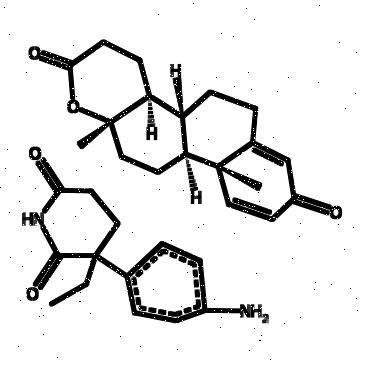 CCC1(c2ccc(N)cc2)CCC(=O)NC1=O.C[C@]12C=CC(=O)C=C1CC[C@@H]1[C@@H]2CC[C@]2(C)OC(=O)CC[C@@H]12